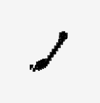 FC(F)(F)C(F)(F)C(F)(F)C(F)(F)C(F)(F)CCCCCCCCCCCCCOCC1CCCCO1